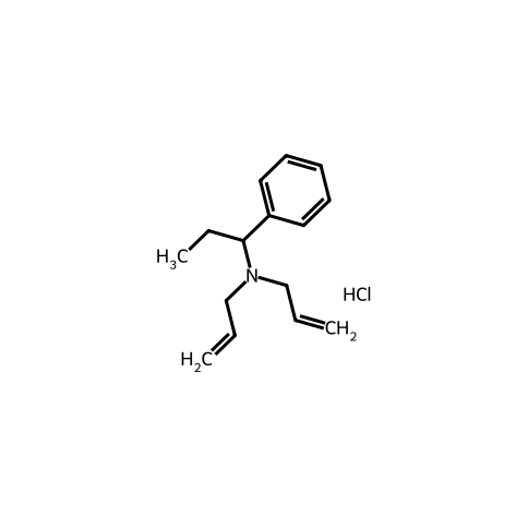 C=CCN(CC=C)C(CC)c1ccccc1.Cl